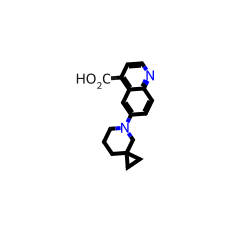 O=C(O)c1ccnc2ccc(N3CCCC4(CC4)C3)cc12